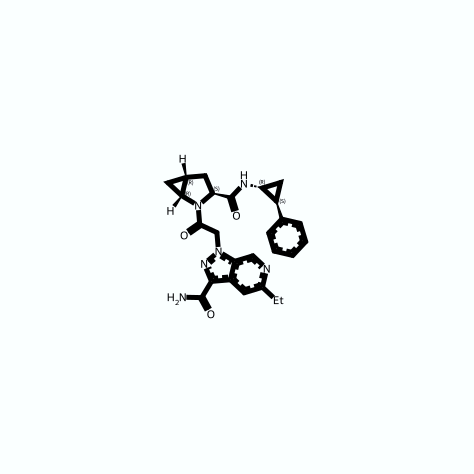 CCc1cc2c(C(N)=O)nn(CC(=O)N3[C@@H]4C[C@@H]4C[C@H]3C(=O)N[C@@H]3C[C@H]3c3ccccc3)c2cn1